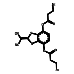 [C-]#[N+]C(C#N)=C1Sc2c(OC(=O)CCC(C)=O)ccc(OC(=O)CCC(C)=O)c2S1